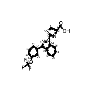 O=C(O)c1csc(-n2nc(-c3cccc(OC(F)(F)F)c3)c3ccccc32)n1